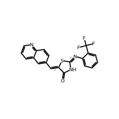 O=C1N/C(=N\c2ccccc2C(F)(F)F)S/C1=C\c1ccc2ncccc2c1